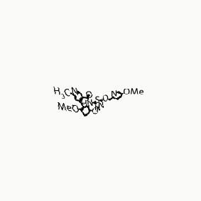 COc1ccc(COc2nnc(NC(=O)c3cnc(C)cc3-c3cc(Cl)ccc3OC)s2)nc1